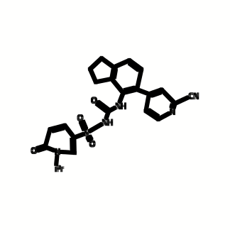 CC(C)n1cc(S(=O)(=O)NC(=O)Nc2c(-c3ccnc(C#N)c3)ccc3c2CCC3)ccc1=O